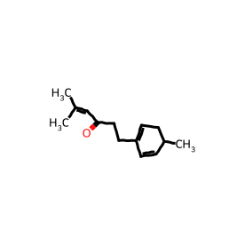 CC(C)=CC(=O)CCC1=CCC(C)C=C1